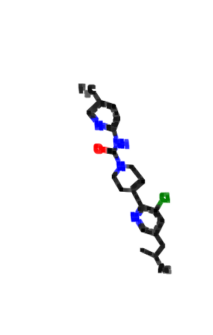 CC(=O)C(C)Cc1cnc(C2=CCN(C(=O)Nc3ccc(C(F)(F)F)cn3)CC2)c(Cl)c1